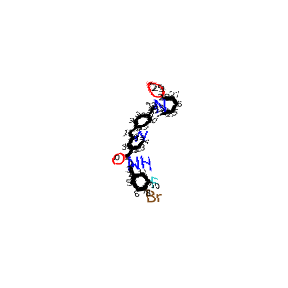 O=C(NCc1ccc(Br)c(F)c1)c1ccnc(Cc2ccc(Cn3ccccc3=O)cc2)c1